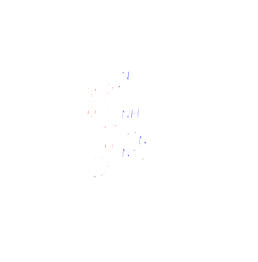 CN(C)C(=O)C[C@@H](/C=C/S(C)(=O)=O)NC(=O)c1cnc(C(C)(C)C)nc1Oc1ccccc1